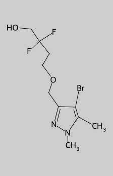 Cc1c(Br)c(COCCC(F)(F)CO)nn1C